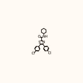 O=C(NC1CCCCC1)c1nc(-c2ccc(Cl)cc2)c(-c2ccc(Cl)cc2)s1